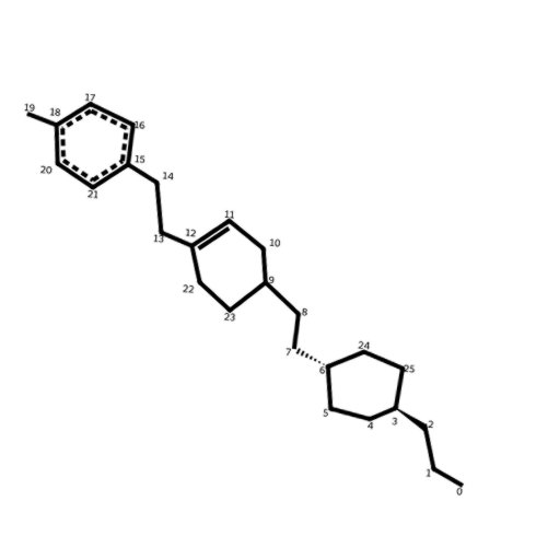 CCC[C@H]1CC[C@H](CCC2CC=C(CCc3ccc(C)cc3)CC2)CC1